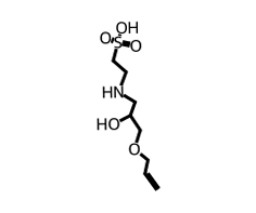 C=CCOCC(O)CNCCS(=O)(=O)O